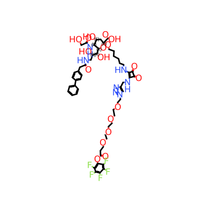 O=C(Cc1ccc(-c2ccccc2)cc1)NC[C@@H](O)[C@@H](O)[C@@H]1O[C@@](OCCCCCCNc2c(NCc3cn(CCOCCOCCOCCOCCC(=O)Oc4c(F)c(F)c(F)c(F)c4F)nn3)c(=O)c2=O)(C(=O)O)C[C@H](O)[C@H]1NC(=O)CO